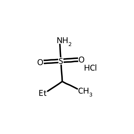 CCC(C)S(N)(=O)=O.Cl